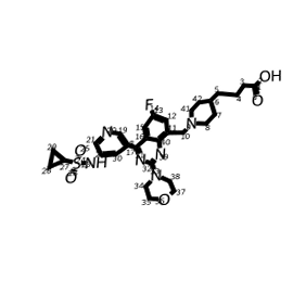 O=C(O)CCCC1CCN(Cc2cc(F)cc3c(-c4cncc(NS(=O)(=O)C5CC5)c4)nc(N4CCOCC4)nc23)CC1